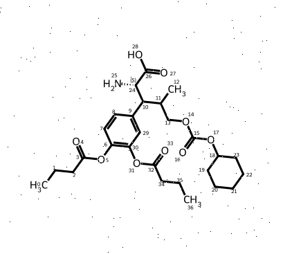 CCCC(=O)Oc1ccc(C(C(C)COC(=O)OC2CCCCC2)[C@H](N)C(=O)O)cc1OC(=O)CCC